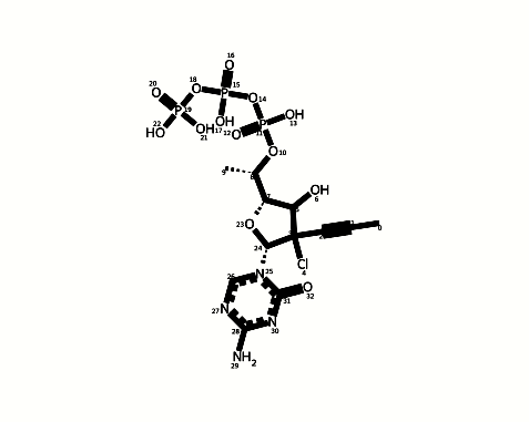 CC#CC1(Cl)C(O)[C@@H]([C@H](C)OP(=O)(O)OP(=O)(O)OP(=O)(O)O)O[C@H]1n1cnc(N)nc1=O